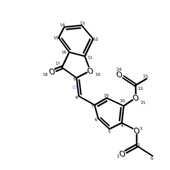 CC(=O)Oc1ccc(/C=C2\Oc3ccccc3C2=O)cc1OC(C)=O